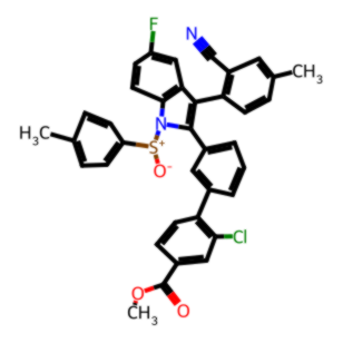 COC(=O)c1ccc(-c2cccc(-c3c(-c4ccc(C)cc4C#N)c4cc(F)ccc4n3[S+]([O-])c3ccc(C)cc3)c2)c(Cl)c1